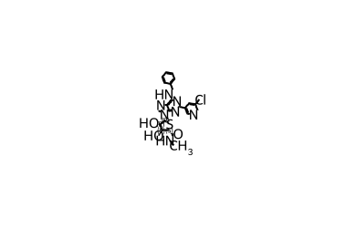 CNC(=O)[C@H]1S[C@@H](n2cnc3c(NCc4ccccc4)nc(-c4cncc(Cl)c4)nc32)[C@H](O)[C@@H]1O